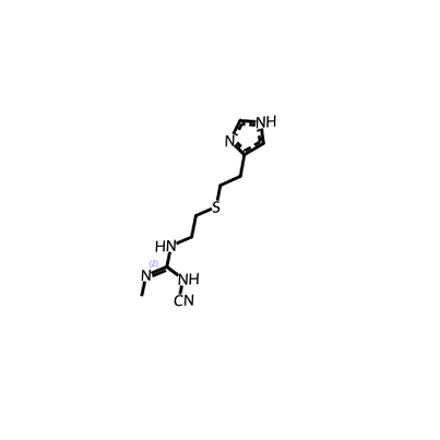 C/N=C(\NC#N)NCCSCCc1c[nH]cn1